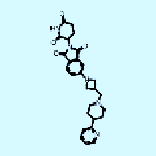 O=C1CCC(N2C(=O)c3ccc(N4CC(CN5CCC(c6ccccn6)CC5)C4)cc3C2=O)C(=O)N1